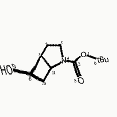 CC(C)(C)OC(=O)N1CCC2C(O)CC21